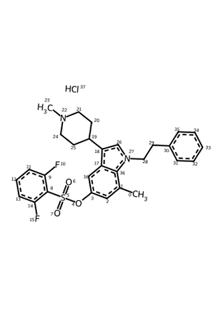 Cc1cc(OS(=O)(=O)c2c(F)cccc2F)cc2c(C3CCN(C)CC3)cn(CCc3ccccc3)c12.Cl